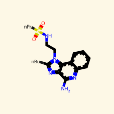 CCCCc1nc2c(N)nc3ccccc3c2n1CCNS(=O)(=O)CCC